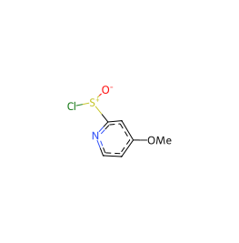 COc1ccnc([S+]([O-])Cl)c1